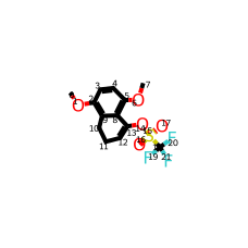 COc1ccc(OC)c2c1CCC=C2OS(=O)(=O)C(F)(F)F